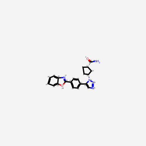 NC(=O)[C@H]1CC[C@@H](n2nncc2-c2ccc(-c3nc4ccccc4o3)cc2)C1